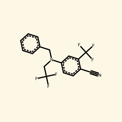 N#Cc1ccc(N(Cc2ccccc2)CC(F)(F)F)cc1C(F)(F)F